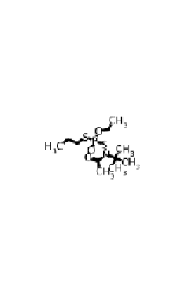 CCCSP(=O)(OCC)SN(C(C)=O)C(C)(C)C